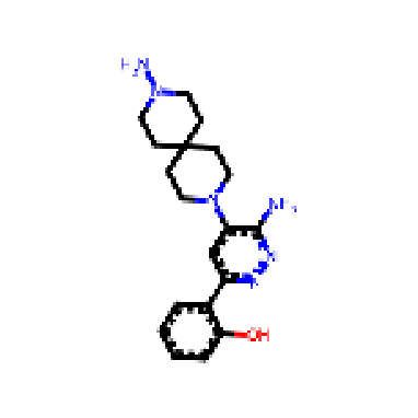 Nc1nnc(-c2ccccc2O)cc1N1CCC2(CCN(N)CC2)CC1